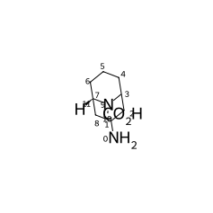 NC1CC2CCC[C@@H](C1)N2C(=O)O